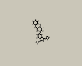 Cn1nc(C2CCC2)c2cc(N3CCNC(Cc4ccccc4)C3)ccc21